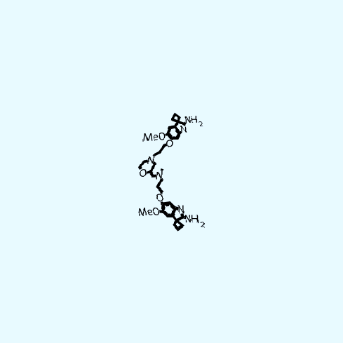 COc1cc2c(cc1OCCCN(C)CC1CN(CCCOc3cc4c(cc3OC)C3(CCC3)C(N)=N4)CCO1)N=C(N)C21CCC1